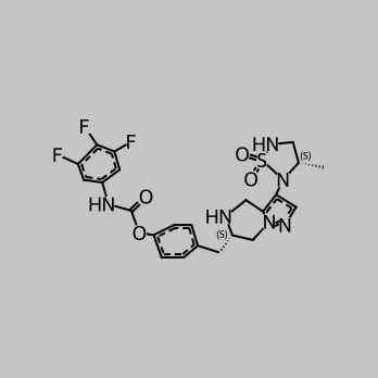 C[C@H]1CNS(=O)(=O)N1c1cnn2c1CN[C@@H](Cc1ccc(OC(=O)Nc3cc(F)c(F)c(F)c3)cc1)C2